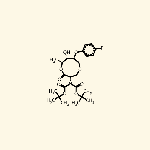 C[C@@H]1OC(=O)[C@@H](N(C(=O)OC(C)(C)C)C(=O)OC(C)(C)C)COC[C@H](Oc2ccc(F)cc2)[C@H]1O